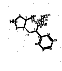 COC(C[C@@H]1CNC[C@H]1N)c1ccccc1.Cl.Cl